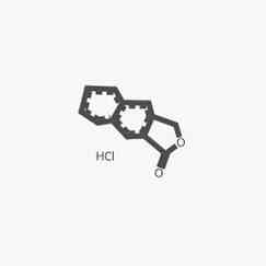 Cl.O=C1OCc2cc3ccccc3cc21